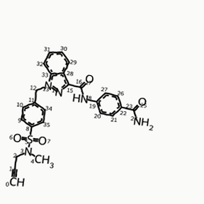 C#CCN(C)S(=O)(=O)c1ccc(Cn2nc(C(=O)Nc3ccc(C(N)=O)cc3)c3ccccc32)cc1